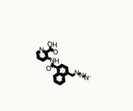 [N-]=[N+]=NCc1ccc(C(=O)Nc2cccnc2C(=O)O)c2ccccc12